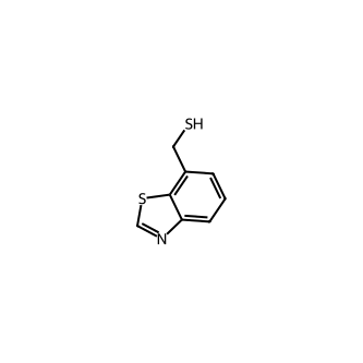 SCc1cccc2ncsc12